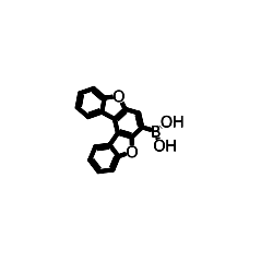 OB(O)c1cc2oc3ccccc3c2c2c1oc1ccccc12